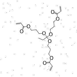 C=CC(=O)OCCCOC(CC)(OCCCOC(=O)C=C)OCCCOC(=O)C=C